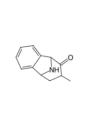 CC1CC2NC(C1=O)c1ccccc12